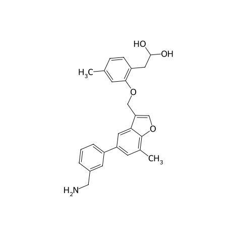 Cc1ccc(CC(O)O)c(OCc2coc3c(C)cc(-c4cccc(CN)c4)cc23)c1